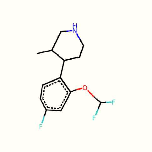 CC1CNCCC1c1ccc(F)cc1OC(F)F